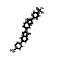 CN1CCN(c2ccc3[nH]c(-c4ccc5[nH]c(-c6ccc(C(F)(F)F)cn6)nc5c4)nc3c2)CC1